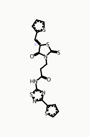 O=C(CCN1C(=O)/C(=C/c2cccs2)SC1=S)Nc1nc(-c2cccs2)ns1